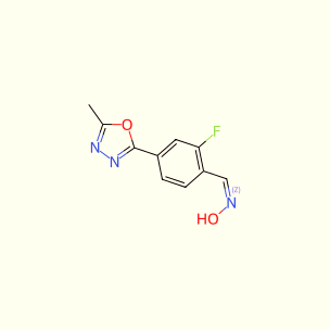 Cc1nnc(-c2ccc(/C=N\O)c(F)c2)o1